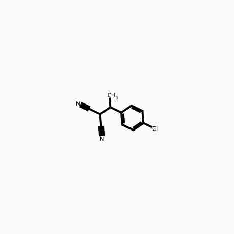 CC(c1ccc(Cl)cc1)C(C#N)C#N